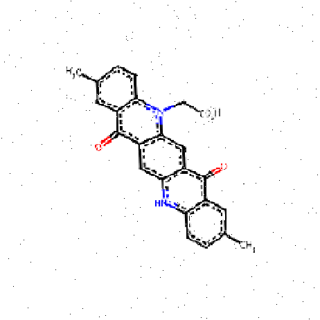 Cc1ccc2[nH]c3cc4c(=O)c5cc(C)ccc5n(CC(=O)O)c4cc3c(=O)c2c1